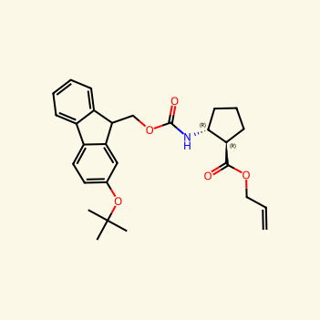 C=CCOC(=O)[C@@H]1CCC[C@H]1NC(=O)OCC1c2ccccc2-c2ccc(OC(C)(C)C)cc21